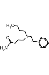 CCCCN(C[CH]c1ccccc1)CCCC(N)=O